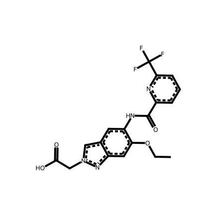 CCOc1cc2nn(CC(=O)O)cc2cc1NC(=O)c1cccc(C(F)(F)F)n1